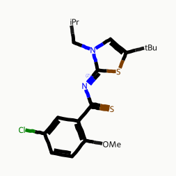 COc1ccc(Cl)cc1C(=S)/N=c1\sc(C(C)(C)C)cn1CC(C)C